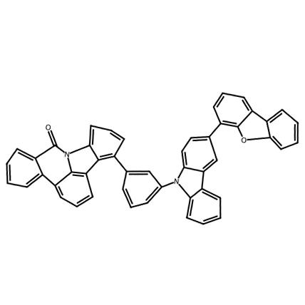 O=c1c2ccccc2c2cccc3c4c(-c5cccc(-n6c7ccccc7c7cc(-c8cccc9c8oc8ccccc89)ccc76)c5)cccc4n1c23